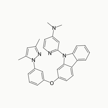 Cc1cc(C)n(-c2cccc(Oc3ccc4c5ccccc5n(-c5cc(N(C)C)ccn5)c4c3)c2)n1